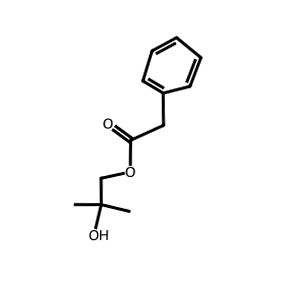 CC(C)(O)COC(=O)Cc1ccccc1